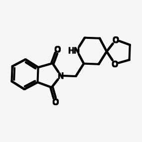 O=C1c2ccccc2C(=O)N1CC1CC2(CCN1)OCCO2